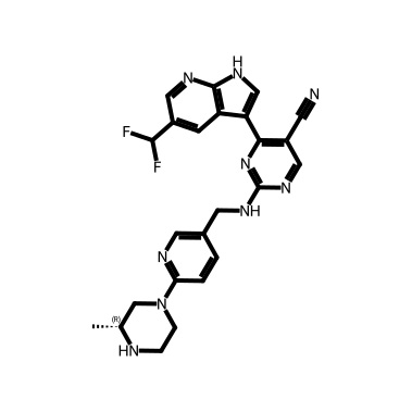 C[C@@H]1CN(c2ccc(CNc3ncc(C#N)c(-c4c[nH]c5ncc(C(F)F)cc45)n3)cn2)CCN1